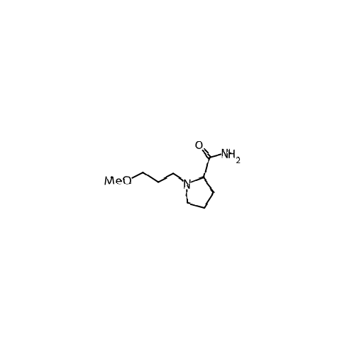 COCCCN1CCCC1C(N)=O